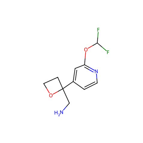 NCC1(c2ccnc(OC(F)F)c2)CCO1